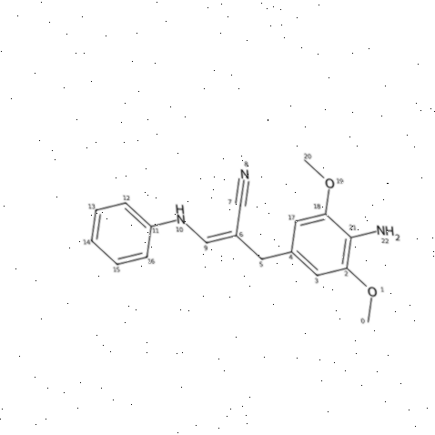 COc1cc(CC(C#N)=CNc2ccccc2)cc(OC)c1N